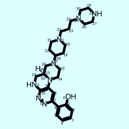 Oc1ccccc1-c1cc2c(nn1)NC[C@H]1CN(C3CCN(CCCN4CCNCC4)CC3)CCN21